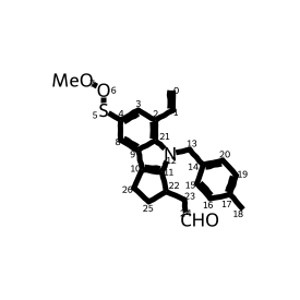 C=Cc1cc(SOOC)cc2c3c(n(Cc4ccc(C)cc4)c12)C(CC=O)CC3